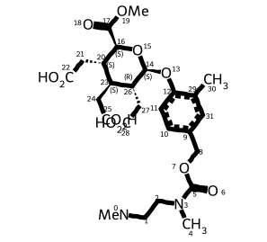 CNCCN(C)C(=O)OCc1ccc(O[C@@H]2O[C@H](C(=O)OC)[C@@H](CC(=O)O)[C@H](CC(=O)O)[C@H]2CC(=O)O)c(C)c1